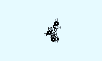 O=C(NC(Cc1cccc(Cl)c1)C(=O)O)c1ccc(Cl)cc1NS(=O)(=O)c1cccc2nccnc12